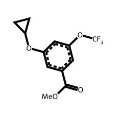 COC(=O)c1cc(OC2CC2)cc(OC(F)(F)F)c1